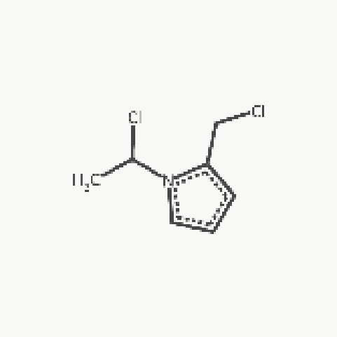 C[C](Cl)n1cccc1CCl